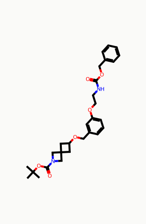 CC(C)(C)OC(=O)N1CC2(CC(OCc3cccc(OCCNC(=O)OCc4ccccc4)c3)C2)C1